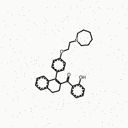 O=C(C1=C(c2ccc(OCCN3CCCCCC3)cc2)c2ccccc2CC1)c1ccccc1O